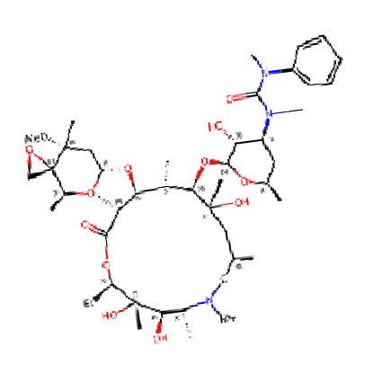 CCCN1C[C@H](C)C[C@@](C)(O)[C@H](O[C@@H]2O[C@H](C)C[C@H](N(C)C(=O)N(C)c3ccccc3)[C@H]2O)[C@@H](C)[C@H](O[C@H]2C[C@@](C)(OC)[C@]3(CO3)[C@H](C)O2)[C@@H](C)C(=O)O[C@H](CC)[C@@](C)(O)[C@H](O)[C@H]1C